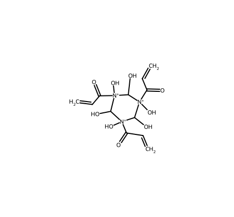 C=CC(=O)[N+]1(O)C(O)[N+](O)(C(=O)C=C)C(O)[N+](O)(C(=O)C=C)C1O